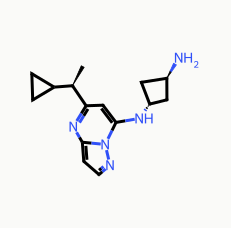 C[C@@H](c1cc(N[C@H]2C[C@H](N)C2)n2nccc2n1)C1CC1